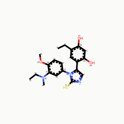 CCc1cc(-c2cnc(S)n2-c2ccc(OC)c(N(C)CC)c2)c(O)cc1O